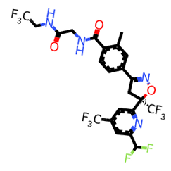 Cc1cc(C2=NO[C@](c3cc(C(F)(F)F)cc(C(F)F)n3)(C(F)(F)F)C2)ccc1C(=O)NCC(=O)NCC(F)(F)F